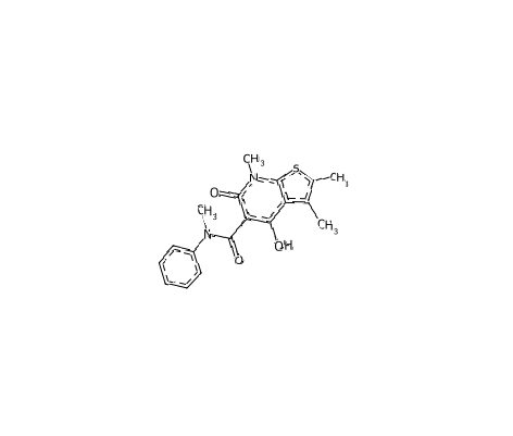 Cc1sc2c(c1C)c(O)c(C(=O)N(C)c1ccccc1)c(=O)n2C